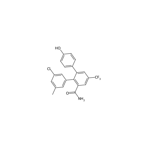 Cc1cc(Cl)cc(-c2c(C(N)=O)cc(C(F)(F)F)cc2-c2ccc(O)cc2)c1